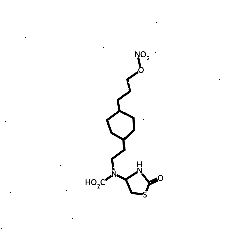 O=C1NC(N(CCC2CCC(CCCO[N+](=O)[O-])CC2)C(=O)O)CS1